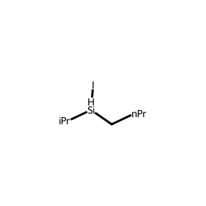 CCCC[SiH](I)C(C)C